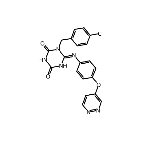 O=c1[nH]c(=O)n(Cc2ccc(Cl)cc2)/c(=N/c2ccc(Oc3ccnnc3)cc2)[nH]1